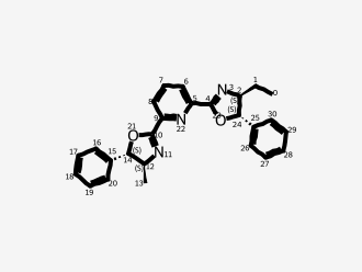 CC[C@@H]1N=C(c2cccc(C3=N[C@@H](C)[C@H](c4ccccc4)O3)n2)O[C@H]1c1ccccc1